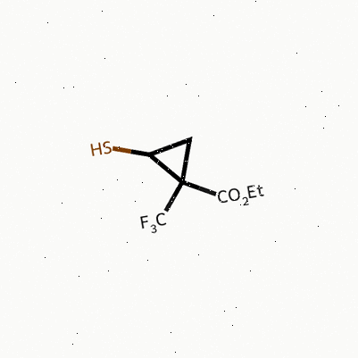 CCOC(=O)C1(C(F)(F)F)CC1S